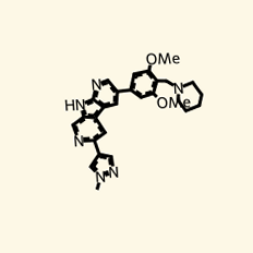 COc1cc(-c2cnc3[nH]c4cnc(-c5cnn(C)c5)cc4c3c2)cc(OC)c1CN1CCCCC1